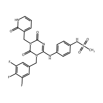 CS(=O)(=O)Nc1ccc(Nc2nc(=O)n(Cc3ccc[nH]c3=O)c(=O)n2Cc2cc(F)c(F)c(F)c2)cc1